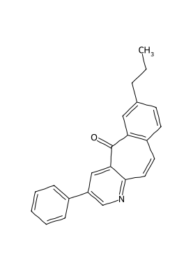 CCCc1ccc2ccc3ncc(-c4ccccc4)cc3c(=O)c2c1